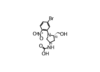 O=C(O)N[C@H]1C[C@@H](CO)N(c2cc(Br)ccc2[N+](=O)[O-])C1